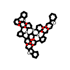 c1ccc(-c2cccc(-c3ccccc3)c2N2c3cc(-c4ccc5oc6ccccc6c5c4)ccc3B3c4ccc(-n5c6ccccc6c6ccccc65)cc4N(c4c(-c5ccccc5)cccc4-c4ccccc4)c4cc(-c5ccc6oc7ccccc7c6c5)cc2c43)cc1